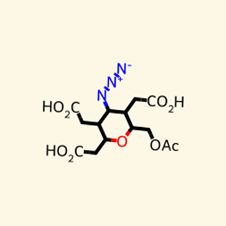 CC(=O)OCC1OC(CC(=O)O)C(CC(=O)O)C(N=[N+]=[N-])C1CC(=O)O